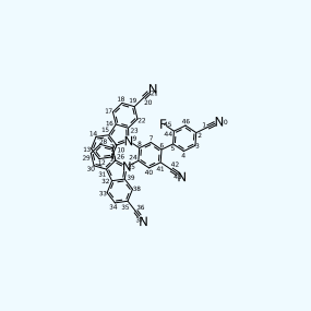 N#Cc1ccc(-c2cc(-n3c4ccccc4c4ccc(C#N)cc43)c(-n3c4ccccc4c4ccc(C#N)cc43)cc2C#N)c(F)c1